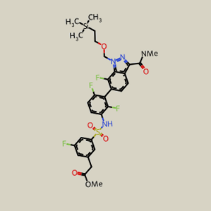 CNC(=O)c1nn(COCC[Si](C)(C)C)c2c(F)c(-c3c(F)ccc(NS(=O)(=O)c4cc(F)cc(CC(=O)OC)c4)c3F)ccc12